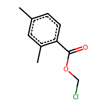 Cc1ccc(C(=O)OCCl)c(C)c1